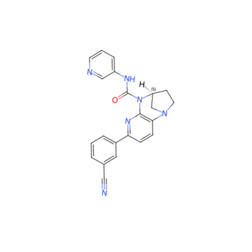 N#Cc1cccc(-c2ccc3c(n2)N(C(=O)Nc2cccnc2)[C@H]2CCN3C2)c1